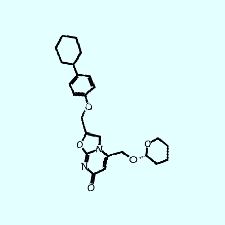 O=c1cc(CO[C@H]2CCCCO2)n2c(n1)OC(COc1ccc(C3CCCCC3)cc1)C2